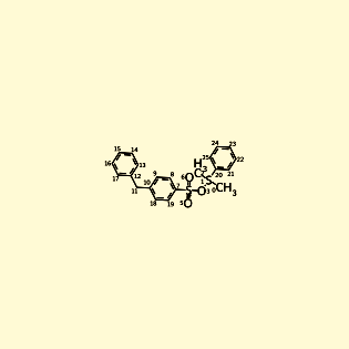 CS(C)(OS(=O)(=O)c1ccc(Cc2ccccc2)cc1)c1ccccc1